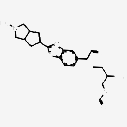 CC(CC[C@@H](C=O)c1ccc2sc(C3CC4CN(C)CC4C3)nc2c1)CNC=O